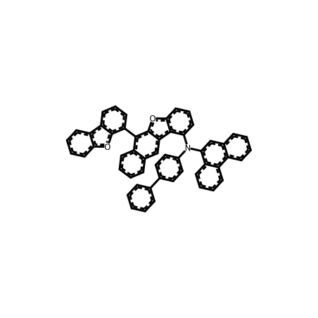 c1ccc(-c2ccc(N(c3cc4ccccc4c4ccccc34)c3cccc4oc5c(-c6cccc7c6oc6ccccc67)c6ccccc6cc5c34)cc2)cc1